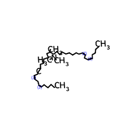 CCCCC/C=C\C/C=C\CCCCCCCCC(C)C(CCCCCCCC/C=C\C/C=C\CCCCC)N(C)C